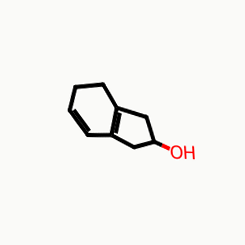 OC1CC2=C(CCC=C2)C1